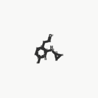 Cc1ccc(CC=O)c(NC2CC2)n1